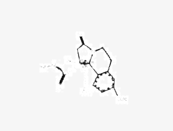 CNC(=O)[C@@H]1[C@@H](C)C[C@@]23c4ccc(OC)cc4CCN2C(=O)C[C@@H]13